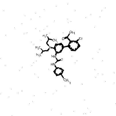 Cc1ccc(NC(=O)Nc2cc(-c3cccc(Cl)c3C(=O)O)ccc2N(CC(C)C)CC(C)C)cc1